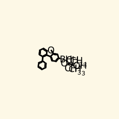 CC(C)(O)C(C)(C)OBc1ccc2c(c1)oc1cccc(-c3ccccc3)c12